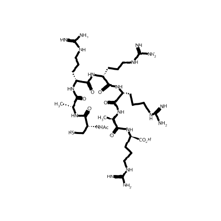 CC(=O)N[C@H](CS)C(=O)N[C@H](C)C(=O)N[C@H](CCCNC(=N)N)C(=O)N[C@H](CCCNC(=N)N)C(=O)N[C@H](CCCNC(=N)N)C(=O)N[C@H](C)C(=O)N[C@H](CCCNC(=N)N)C(=O)O